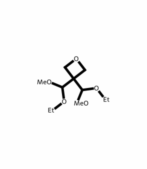 CCOC(OC)C1(C(OC)OCC)COC1